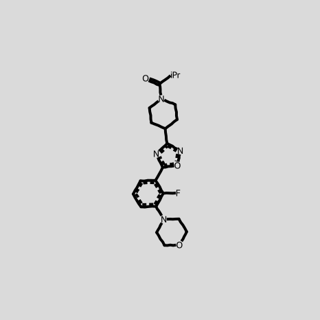 CC(C)C(=O)N1CCC(c2noc(-c3cccc(N4CCOCC4)c3F)n2)CC1